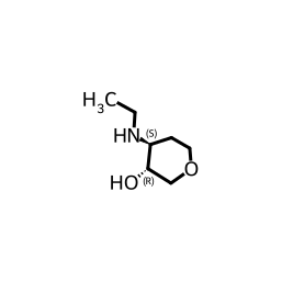 CCN[C@H]1CCOC[C@@H]1O